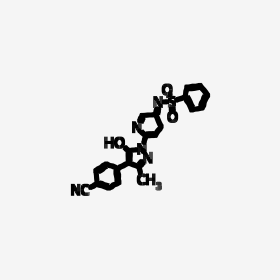 Cc1nn(C2=CCC(=NS(=O)(=O)c3ccccc3)C=N2)c(O)c1-c1ccc(C#N)cc1